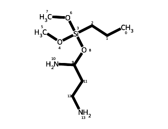 CCC[Si](OC)(OC)OC(N)CCN